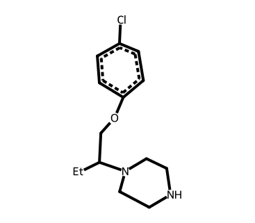 CCC(COc1ccc(Cl)cc1)N1CCNCC1